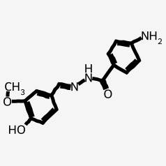 COc1cc(C=NNC(=O)c2ccc(N)cc2)ccc1O